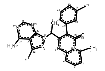 Cc1cccc2nc(C(C)n3nc(I)c4c(N)ncnc43)c(-c3cccc(F)c3)c(=O)n12